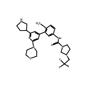 Cc1ccc(NC(=O)N2CC[C@@H](CC(F)(F)F)C2)cc1-c1cc(C2CCNC2)nc(N2CCOCC2)c1